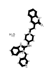 O.O=c1oc2ccccc2cc1CCN1CCC(Nc2nc3ccccc3n2Cc2cccnc2)CC1